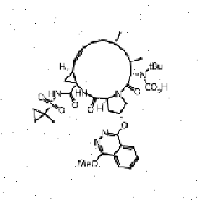 COc1nnc(O[C@@H]2C[C@H]3C(=O)N[C@]4(C(=O)NS(=O)(=O)C5(C)CC5)C[C@H]4/C=C\CC[C@@H](C)C[C@@H](C)[C@H](N(C(=O)O)C(C)(C)C)C(=O)N3C2)c2ccccc12